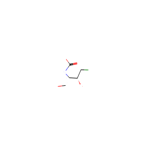 O=C(O)N[C@@H](CO)[C@H](O)CCl